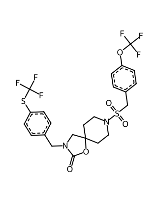 O=C1OC2(CCN(S(=O)(=O)Cc3ccc(OC(F)(F)F)cc3)CC2)CN1Cc1ccc(SC(F)(F)F)cc1